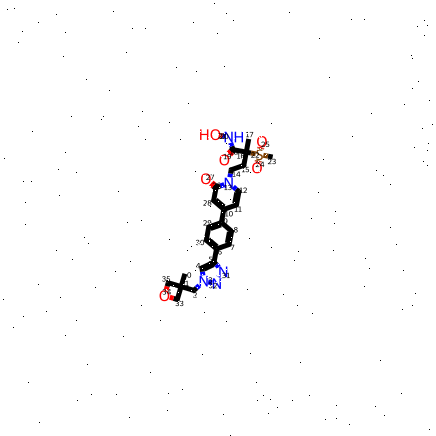 CC1(Cn2cc(-c3ccc(-c4ccn(CCC(C)(C(=O)NO)S(C)(=O)=O)c(=O)c4)cc3)nn2)COC1